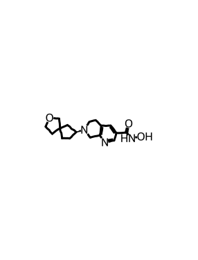 O=C(NO)c1cnc2c(c1)CCN([C@H]1CCC3(CCOC3)C1)C2